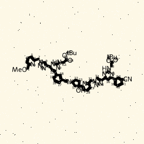 COCc1cccc(Cn2cc(-c3cc(-c4cccc(C#[N+]C5CCC(O)(c6cccc(Cn7cc(-c8cc(-c9cccc(C#N)c9)nc(NCC(=O)OC(C)(C)C)n8)nn7)n6)C5)c4)nc(NCC(=O)OC(C)(C)C)n3)nn2)n1